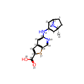 CN1C2CC[C@H]1CC(Nc1cc3cc(C(=O)O)sc3cn1)C2